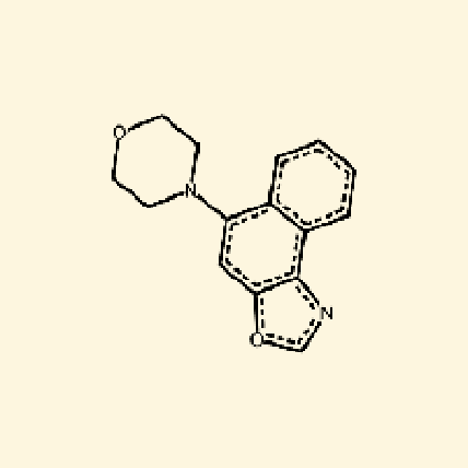 c1ccc2c(c1)c(N1CCOCC1)cc1ocnc12